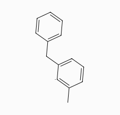 Cc1[c]c(Cc2ccccc2)ccc1